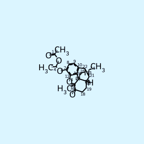 CC(=O)OC(C)Oc1ccc2c3c1O[C@@]1(C)C(=O)CC[C@H]4C(C2)N(C)CC[C@@]341